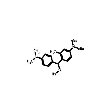 CCCCN(CCCC)c1ccc(C(OC(C)C)c2ccc(N(C)C)cc2)c(C)c1